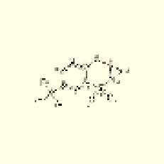 O=S1(=O)c2cc(C(F)(F)F)ccc2CC2CN21